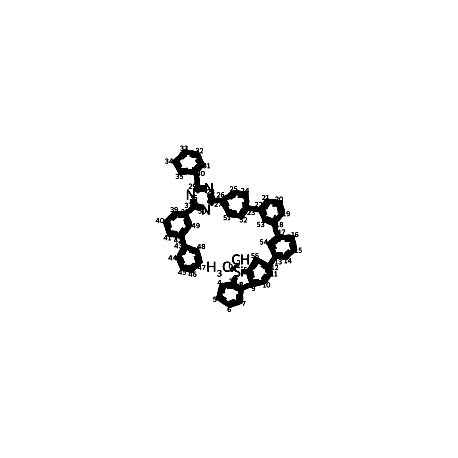 C[Si]1(C)c2ccccc2-c2ccc(-c3cccc(-c4cccc(-c5ccc(-c6nc(-c7ccccc7)nc(-c7cccc(-c8ccccc8)c7)n6)cc5)c4)c3)cc21